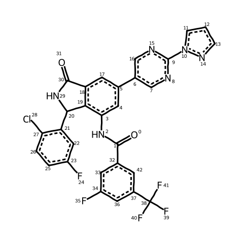 O=C(Nc1cc(-c2cnc(-n3cccn3)nc2)cc2c1C(c1cc(F)ccc1Cl)NC2=O)c1cc(F)cc(C(F)(F)F)c1